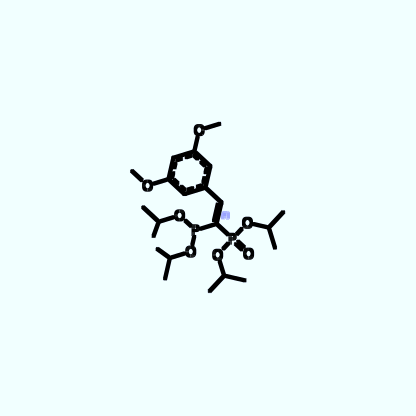 COc1cc(/C=C(\P(OC(C)C)OC(C)C)P(=O)(OC(C)C)OC(C)C)cc(OC)c1